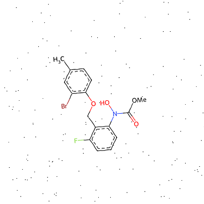 COC(=O)N(O)c1cccc(F)c1COc1ccc(C)cc1Br